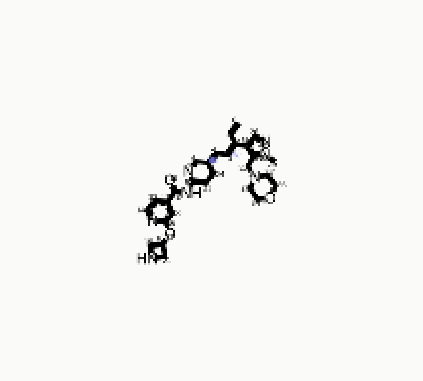 C=C/C(=C\C=C1\C=NC(NC(=O)c2ccnc(OC3CNC3)c2)=CC1)c1cnn(C)c1CN1CCOCC1